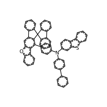 c1ccc(-c2ccc(N(c3ccc(-c4c5c(cc6oc7ccccc7c46)-c4ccccc4C54c5ccccc5-c5ccccc54)cc3)c3ccc4c(c3)sc3ccccc34)cc2)cc1